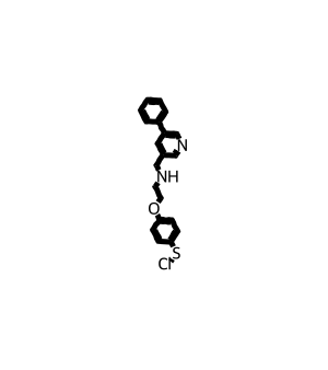 ClSc1ccc(OCCNCc2cncc(-c3ccccc3)c2)cc1